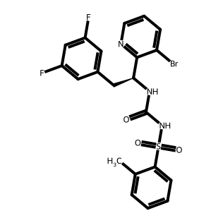 Cc1ccccc1S(=O)(=O)NC(=O)N[C@@H](Cc1cc(F)cc(F)c1)c1ncccc1Br